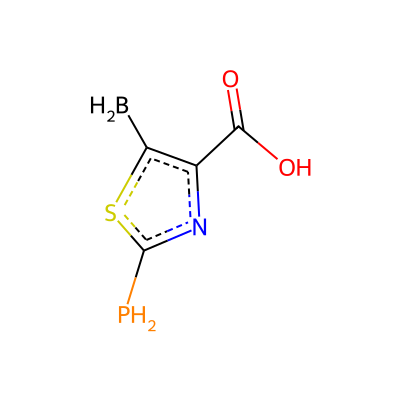 Bc1sc(P)nc1C(=O)O